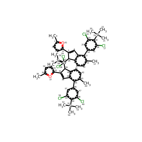 Cc1ccc(C2=Cc3c(ccc(C)c3-c3cc(Cl)c([Si](C)(C)C)c(Cl)c3)[CH]2[Zr]([Cl])([Cl])([CH]2C(c3ccc(C)o3)=Cc3c2ccc(C)c3-c2cc(Cl)c([Si](C)(C)C)c(Cl)c2)=[Si](C)C)o1